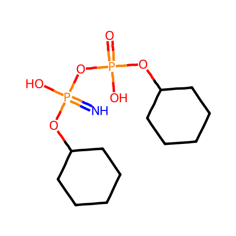 N=P(O)(OC1CCCCC1)OP(=O)(O)OC1CCCCC1